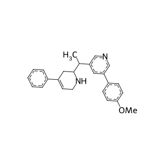 COc1ccc(-c2cncc(C(C)C3CC(c4ccccc4)=CCN3)c2)cc1